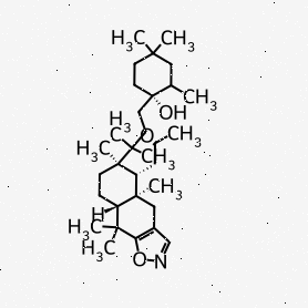 CC(=O)C[C@@H]1[C@@]2(C)Cc3cnoc3C(C)(C)[C@@H]2CC[C@@]1(C)C(C)(C)CC[C@@]1(O)CCC(C)(C)CC1C